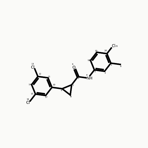 Cc1cc(NC(=O)C2CC2c2cc(Cl)cc(Cl)c2)ccc1Cl